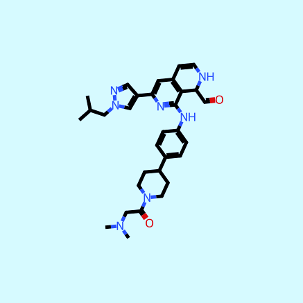 CC(C)Cn1cc(-c2cc3c(c(Nc4ccc(C5CCN(C(=O)CN(C)C)CC5)cc4)n2)C(C=O)NC=C3)cn1